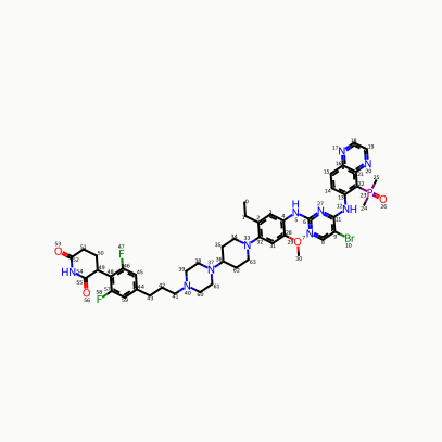 CCc1cc(Nc2ncc(Br)c(Nc3ccc4nccnc4c3P(C)(C)=O)n2)c(OC)cc1N1CCC(N2CCN(CCCc3cc(F)c(C4CCC(=O)NC4=O)c(F)c3)CC2)CC1